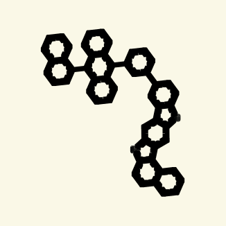 c1cc(-c2ccc3oc4cc5c(cc4c3c2)oc2ccc3ccccc3c25)cc(-c2c3ccccc3c(-c3cccc4ccccc34)c3ccccc23)c1